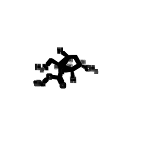 C[C@H]1C[C@@H]2C[C@H]1N(C(=O)OC(C)(C)C)[C@H]2CN